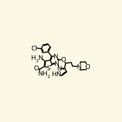 NC(=O)c1sc2nc(OC(CCN3CCOCC3)c3cc[nH]n3)nc(-c3cccc(Cl)c3)c2c1N